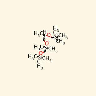 C[SiH](CO[Si](C)(C)CO[Si](C)(C)C)OC[Si](C)(C)C